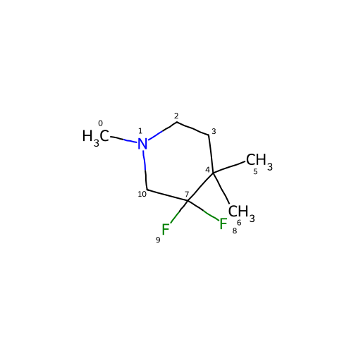 CN1CCC(C)(C)C(F)(F)C1